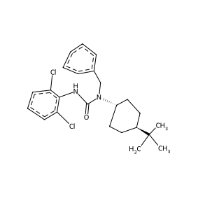 CC(C)(C)[C@H]1CC[C@H](N(Cc2ccccc2)C(=O)Nc2c(Cl)cccc2Cl)CC1